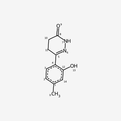 Cc1ccc(C2=NNC(=O)CC2)c(O)c1